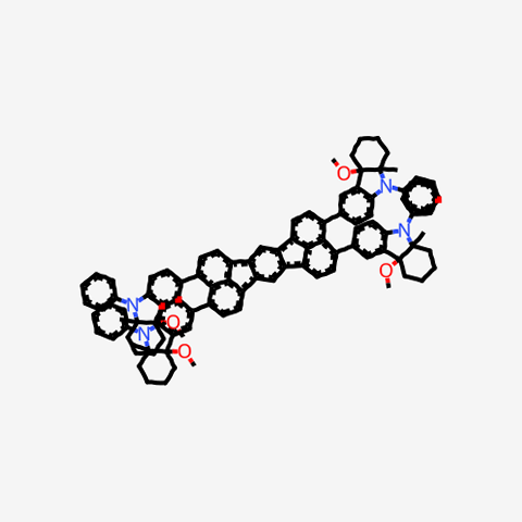 COC12CCCCC1(C)N(c1ccccc1)c1ccc(-c3ccc4c5cc6c(cc5c5ccc(-c7ccc8c(c7)C7(OC)CCCCC7(C)N8c7ccccc7)c3c45)c3ccc(-c4ccc5c(c4)C4(OC)CCCCC4(C)N5c4ccccc4)c4c(-c5ccc7c(c5)C5(OC)CCCCC5(C)N7c5ccccc5)ccc6c43)cc12